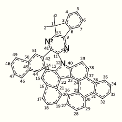 CC1(C)c2ccccc2-c2nc(-n3c4ccc5ccccc5c4c4c5c6ccccc6c6ccccc6c5ccc43)c(-c3ccc4ccccc4c3)nc21